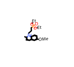 CCOP(=O)(CCC[n+]1c(C)ccc2cc(OC)ccc21)OCC